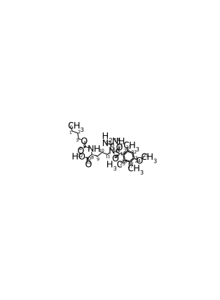 CCCCOC(=O)N[C@@H](CCCN(C(=N)N)S(=O)(=O)c1c(C)cc(OC)c(C)c1C)C(=O)O